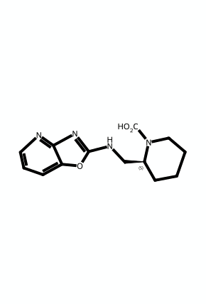 O=C(O)N1CCCC[C@H]1CNc1nc2ncccc2o1